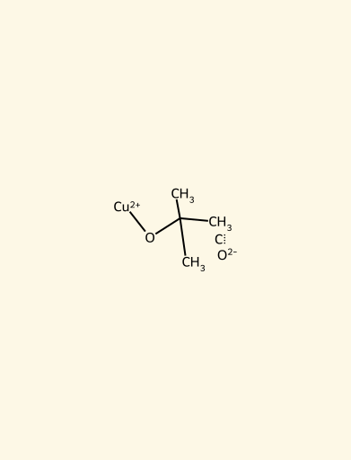 CC(C)(C)[O][Cu+2].[C].[O-2]